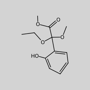 CCOC(OC)(C(=O)OC)c1ccccc1O